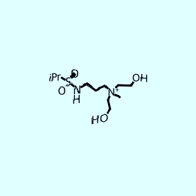 CC(C)S(=O)(=O)NCCC[N+](C)(CCO)CCO